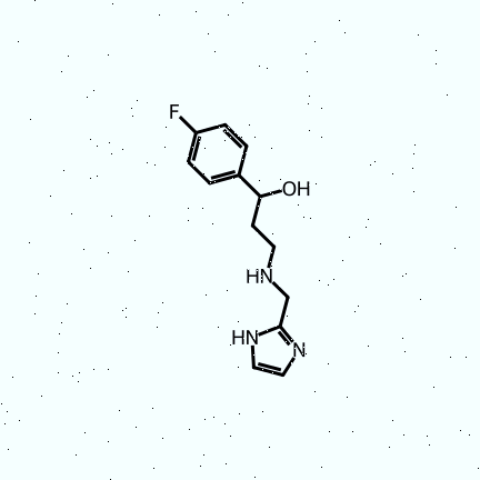 OC(CCNCc1ncc[nH]1)c1ccc(F)cc1